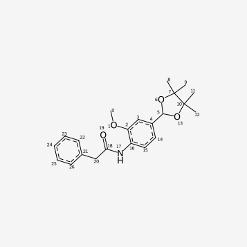 COc1cc(C2OC(C)(C)C(C)(C)O2)ccc1NC(=O)Cc1ccccc1